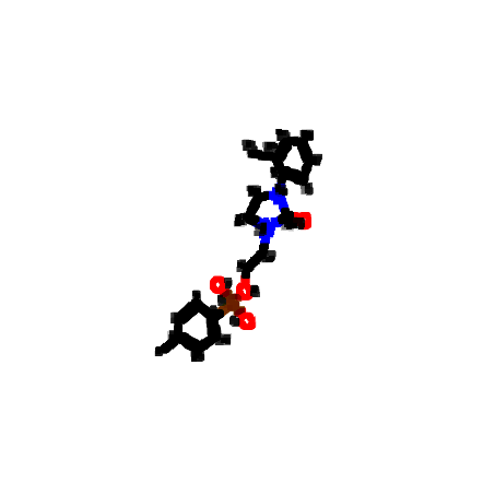 Cc1ccc(S(=O)(=O)OCCN2CCN(c3ccccc3C)C2=O)cc1